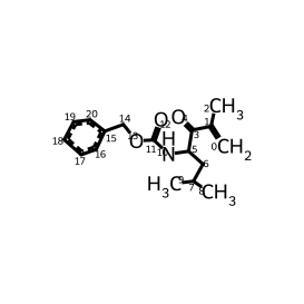 C=C(C)C(=O)C(CC(C)C)NC(=O)OCc1ccccc1